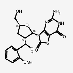 COc1ccccc1C(O)[C@@H]1C[C@@H](CO)O[C@H]1n1c(=O)sc2c(=O)[nH]c(N)nc21